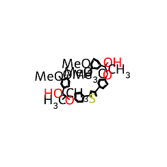 COc1ccc(C(O)C(C)(C)Oc2ccc(-c3csc(-c4ccc(OC(C)(C)C(O)c5ccc(OC)c(OC)c5)cc4)c3)cc2)cc1OC